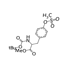 COC(=O)C(Cc1ccc(OS(C)(=O)=O)cc1)NC(=O)OC(C)(C)C